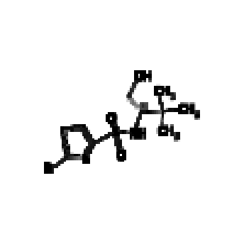 CC(C)(C)[C@@H](CO)NS(=O)(=O)c1ccc(Br)s1